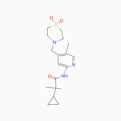 Cc1cnc(NC(=O)C(C)(C)C2CC2)cc1CN1CCS(=O)(=O)CC1